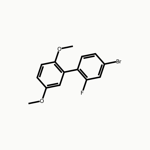 COc1ccc(OC)c(-c2ccc(Br)cc2F)c1